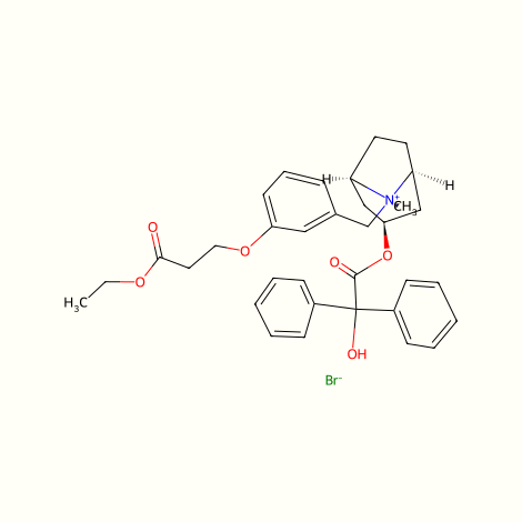 CCOC(=O)CCOc1cccc(C[N@+]2(C)[C@@H]3CC[C@H]2C[C@@H](OC(=O)C(O)(c2ccccc2)c2ccccc2)C3)c1.[Br-]